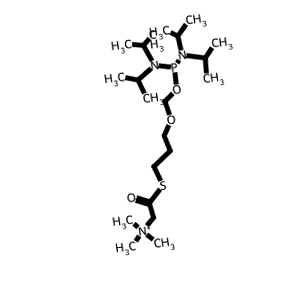 CC(C)N(C(C)C)P(OCOCCCSC(=O)C[N+](C)(C)C)N(C(C)C)C(C)C